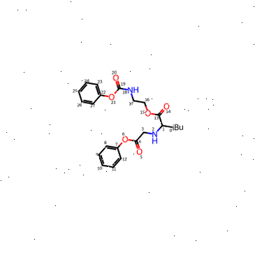 CCC(C)C(NCC(=O)Oc1ccccc1)C(=O)OCCNC(=O)Oc1ccccc1